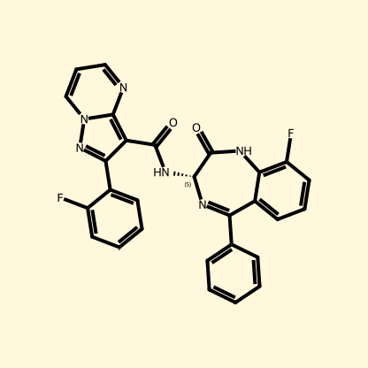 O=C(N[C@H]1N=C(c2ccccc2)c2cccc(F)c2NC1=O)c1c(-c2cc[c]cc2F)nn2cccnc12